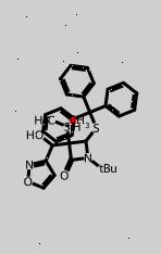 C[SiH](C)C1(C(O)c2ccon2)C(=O)N(C(C)(C)C)C1SC(c1ccccc1)(c1ccccc1)c1ccccc1